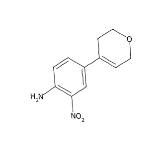 Nc1ccc(C2=CCOCC2)cc1[N+](=O)[O-]